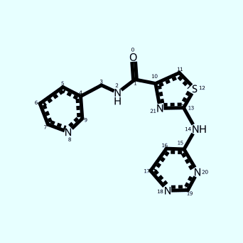 O=C(NCc1cccnc1)c1csc(Nc2ccncn2)n1